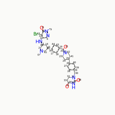 CN1C[C@H](Nc2cnn(C)c(=O)c2Br)C[C@H](c2ccc(C(=O)N3CCC(c4ccc(CN5CCC(=O)NC5=O)cc4)CC3)cc2)C1